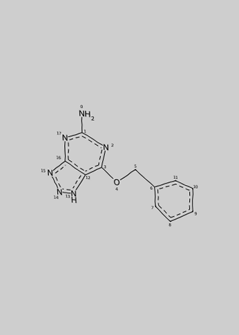 Nc1nc(OCc2ccccc2)c2[nH]nnc2n1